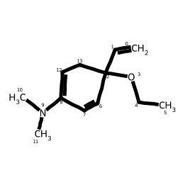 C=CC1(OCC)C=CC(N(C)C)=CC1